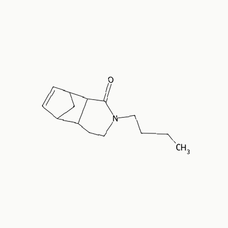 CCCCN1CCC2C3C=CC(C3)C2C1=O